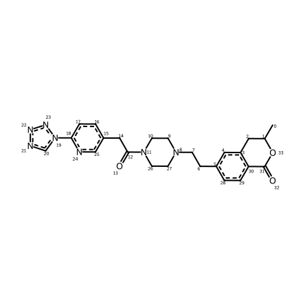 CC1Cc2cc(CCN3CCN(C(=O)Cc4ccc(-n5cnnn5)nc4)CC3)ccc2C(=O)O1